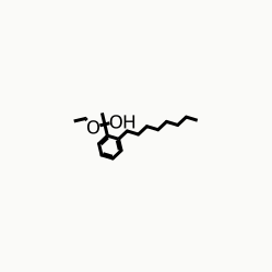 CCCCCCCCc1ccccc1C(C)(O)OCC